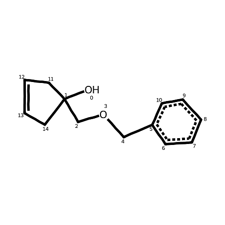 OC1(COCc2ccccc2)CC=CC1